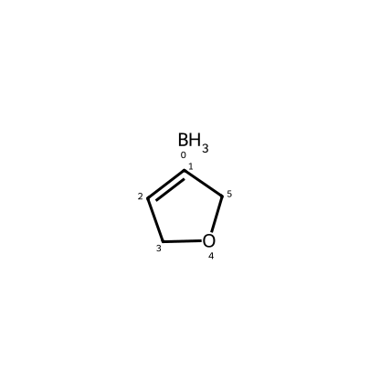 B.C1=CCOC1